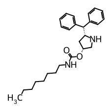 CCCCCCCCNC(=O)O[C@H]1CN[C@@H](C(c2ccccc2)c2ccccc2)C1